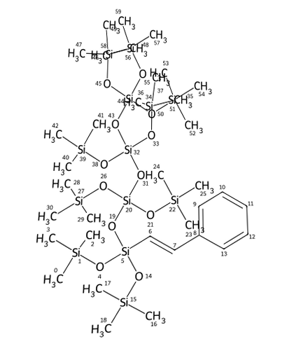 C[Si](C)(C)O[Si](C=Cc1ccccc1)(O[Si](C)(C)C)O[Si](O[Si](C)(C)C)(O[Si](C)(C)C)O[Si](O[Si](C)(C)C)(O[Si](C)(C)C)O[Si](O[Si](C)(C)C)(O[Si](C)(C)C)O[Si](C)(C)C